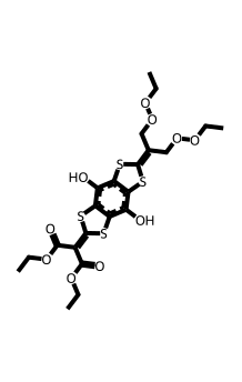 CCOOCC(COOCC)=C1Sc2c(O)c3c(c(O)c2S1)SC(=C(C(=O)OCC)C(=O)OCC)S3